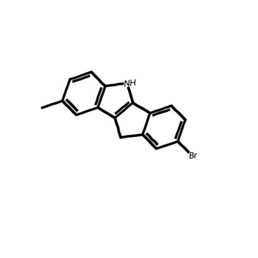 Cc1ccc2[nH]c3c(c2c1)Cc1cc(Br)ccc1-3